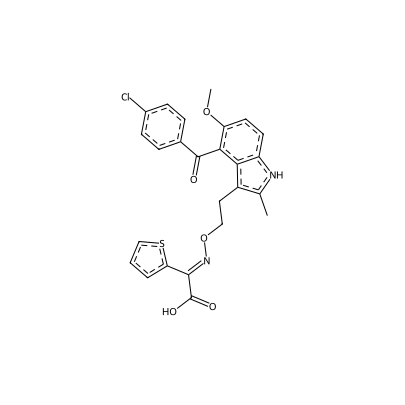 COc1ccc2[nH]c(C)c(CCON=C(C(=O)O)c3cccs3)c2c1C(=O)c1ccc(Cl)cc1